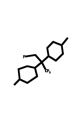 CC1CCC(C(CF)(C2CCC(C)CC2)C(F)(F)F)CC1